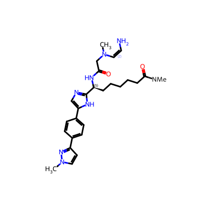 CNC(=O)CCCCC[C@H](NC(=O)CN(C)/C=C\N)c1ncc(-c2ccc(-c3ccn(C)n3)cc2)[nH]1